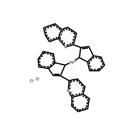 C1=C(c2ccc3ccccc3n2)[CH]([Hf+2][CH]2C(c3ccc4ccccc4n3)=Cc3ccccc32)c2ccccc21.[Cl-].[Cl-]